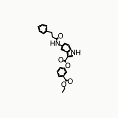 CCOC(=O)c1cccc(OC(=O)c2c[nH]c3ccc(NC(=O)CCc4ccccc4)cc23)c1